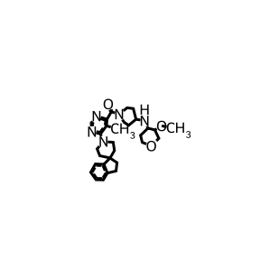 COC1COCCC1NC1CCN(C(=O)c2ncnc(N3CCC4(CCc5ccccc54)CC3)c2C)CC1